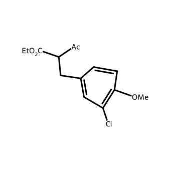 CCOC(=O)C(Cc1ccc(OC)c(Cl)c1)C(C)=O